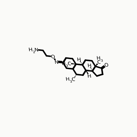 C[C@H]1C[C@@H]2[C@H](CC[C@]3(C)C(=O)CC[C@@H]23)[C@@]2(C)CCC(=NOCCN)CC12